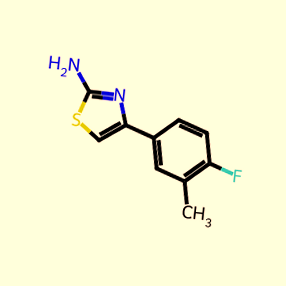 Cc1cc(-c2csc(N)n2)ccc1F